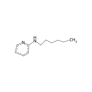 CCCCCCNc1ccccn1